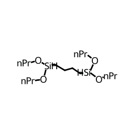 CCCO[SiH](CCCC[SiH](OCCC)OCCC)OCCC